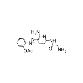 CC(=O)Oc1ccccc1/N=N/c1ccc(NC(=O)CN)nc1N